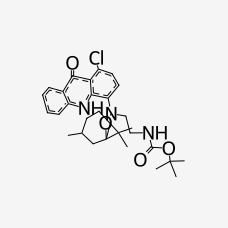 CC1CCC2C(C)(C)C2(ON(CCNC(=O)OC(C)(C)C)c2ccc(Cl)c3c(=O)c4ccccc4[nH]c23)C1